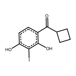 O=C(c1ccc(O)c(I)c1O)C1CCC1